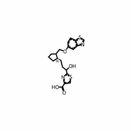 O=C(O)c1csc(C(O)CC[C@H]2CCCC2COc2ccc3scnc3c2)n1